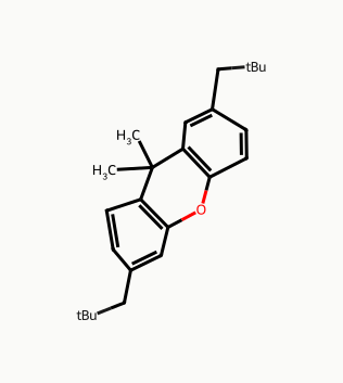 CC(C)(C)Cc1ccc2c(c1)Oc1ccc(CC(C)(C)C)cc1C2(C)C